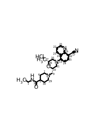 CCNC(=O)C1CCN(C[C@H]2CN(c3ccc(C#N)c4ncccc34)C[C@@H](C)O2)CC1.Cl